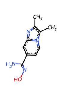 Cc1nc2cc(C(N)=NO)ccn2c1C